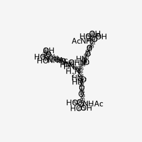 CC(=O)N[C@@H]1[C@@H](O)[C@@H](O)[C@@H](CO)O[C@@H]1CCCOCCOCCNC(=O)NCCCC(N)(CCCNC(=O)NCCOCCOCCC[C@H]1O[C@H](CO)[C@H](O)[C@H](O)[C@H]1NC(C)=O)CCCNC(=O)NCCOCCOCCC[C@H]1O[C@H](CO)[C@H](O)[C@H](O)[C@H]1NC(C)=O